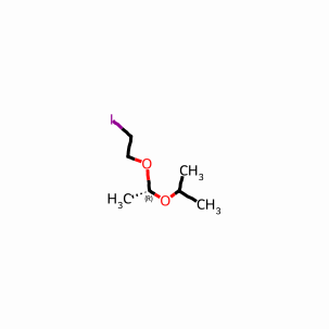 CC(C)O[C@H](C)OCCI